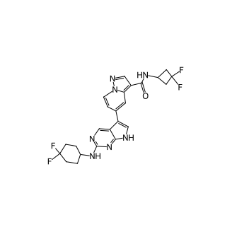 O=C(NC1CC(F)(F)C1)c1cnn2ccc(-c3c[nH]c4nc(NC5CCC(F)(F)CC5)ncc34)cc12